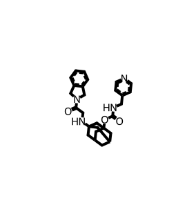 O=C(NCc1ccncc1)OC12CC3CC(CC(NCC(=O)N4Cc5ccccc5C4)(C3)C1)C2